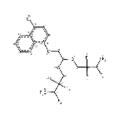 FC(C(F)(F)F)C(F)(F)COC(COc1ccc(Cl)c2cccnc12)OCC(F)(F)C(F)C(F)(F)F